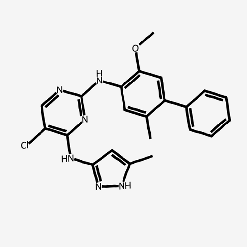 COc1cc(-c2ccccc2)c(C)cc1Nc1ncc(Cl)c(Nc2cc(C)[nH]n2)n1